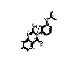 CC(C)Oc1cccc(-n2c(N)nc3ccccc3c2=O)c1